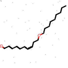 CCCCCCCCCOCC/C=C\CCCCCCO